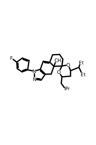 CCC(CC)C1CC(CC(C)C)OC2(CCCC3=Cc4c(cnn4-c4ccc(F)cc4)CC32C)O1